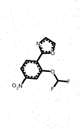 O=[N+]([O-])c1ccc(-c2ncco2)c(OC(F)F)c1